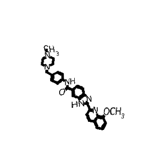 COc1cccc2ccc(-c3nc4ccc(C(=O)Nc5ccc(CN6CCN(C)CC6)cc5)cc4[nH]3)nc12